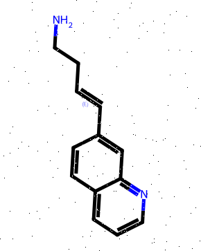 NCC/C=C/c1ccc2cccnc2c1